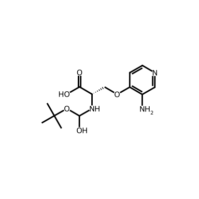 CC(C)(C)OC(O)N[C@@H](COc1ccncc1N)C(=O)O